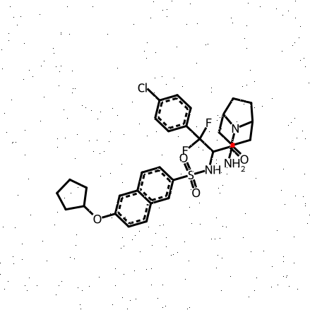 NC1CC2CCC(C1)N2C(=O)C(NS(=O)(=O)c1ccc2cc(OC3CCCC3)ccc2c1)C(F)(F)c1ccc(Cl)cc1